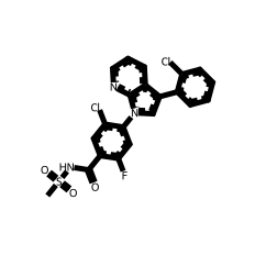 CS(=O)(=O)NC(=O)c1cc(Cl)c(-n2cc(-c3ccccc3Cl)c3cccnc32)cc1F